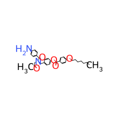 CCCCCCCOc1ccc(C(=O)Oc2ccc(CN(CC(C)=O)C(=O)c3ccc(N)cc3)cc2)cc1